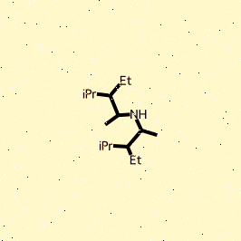 CCC(C(C)C)C(C)NC(C)C(CC)C(C)C